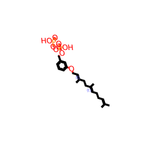 CC(C)=CCC/C=C(\C)CC/C(C)=C/COc1cccc(COP(=O)(O)OP(=O)(O)O)c1